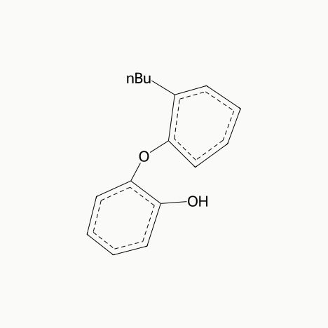 CCCCc1ccccc1Oc1ccccc1O